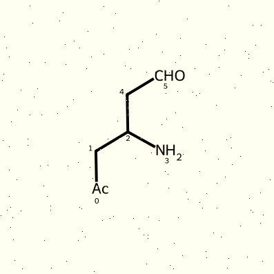 CC(=O)CC(N)CC=O